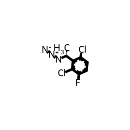 C[C@@H](N=[N+]=[N-])c1c(Cl)ccc(F)c1Cl